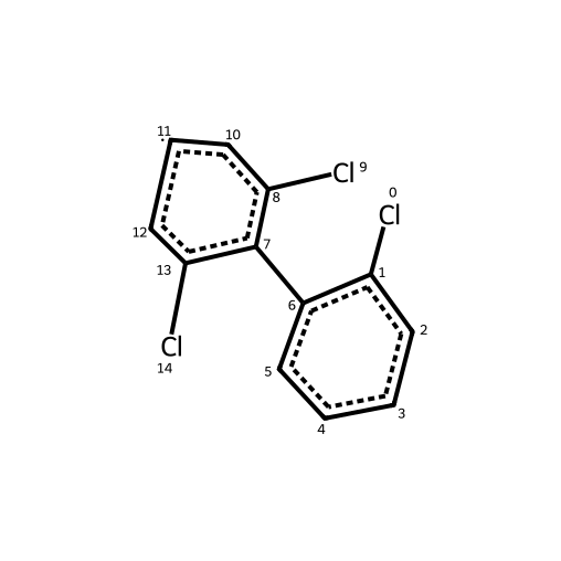 Clc1ccccc1-c1c(Cl)c[c]cc1Cl